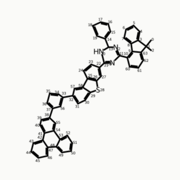 CC1(C)c2ccccc2-c2c(C3=NC(c4ccccc4)NC(c4ccc5c(c4)sc4ccc(-c6cccc(-c7ccc8c9ccccc9c9ccccc9c8c7)c6)cc45)=N3)cccc21